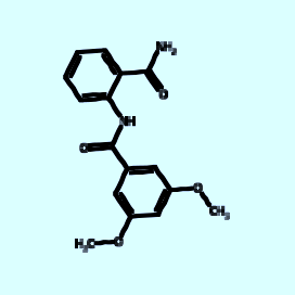 COc1cc(OC)cc(C(=O)Nc2ccccc2C(N)=O)c1